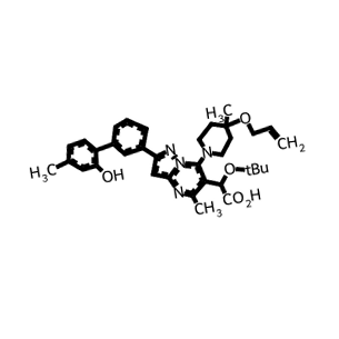 C=CCOC1(C)CCN(c2c(C(OC(C)(C)C)C(=O)O)c(C)nc3cc(-c4cccc(-c5ccc(C)cc5O)c4)nn23)CC1